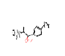 CC(C)c1ccc(C(O)C(C)[N+](=O)[O-])cc1